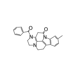 Cc1ccc2c3c4n(c2c1)C(=O)CC1=C4N(CC3)CCN1C(=O)c1ccccc1